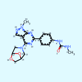 CNC(=O)Nc1ccc(-c2nc(N3CC4COC(C3)O4)c3cnn(C)c3n2)cc1